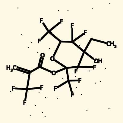 C=C(C(=O)OC1(C(F)(F)F)OC(C(F)(F)F)C(F)(F)C(O)(CC)C1(F)F)C(F)(F)F